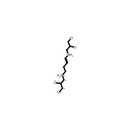 ClCC(Cl)C[SiH2]C=CCC[SiH2]CC(Cl)CCl